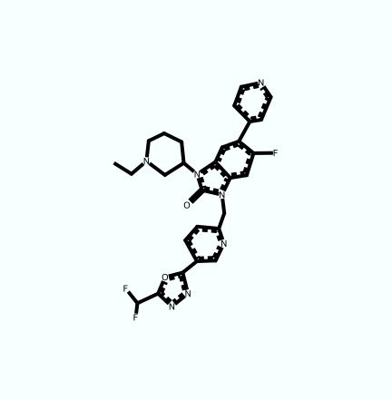 CCN1CCCC(n2c(=O)n(Cc3ccc(-c4nnc(C(F)F)o4)cn3)c3cc(F)c(-c4ccncc4)cc32)C1